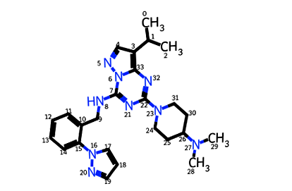 CC(C)c1cnn2c(NCc3ccccc3-n3cccn3)nc(N3CCC(N(C)C)CC3)nc12